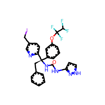 O=C(Nc1cc[nH]n1)N[C@@](Cc1ccccc1)(c1cccc(OC(F)(F)C(F)F)c1)c1ccc(CI)cn1